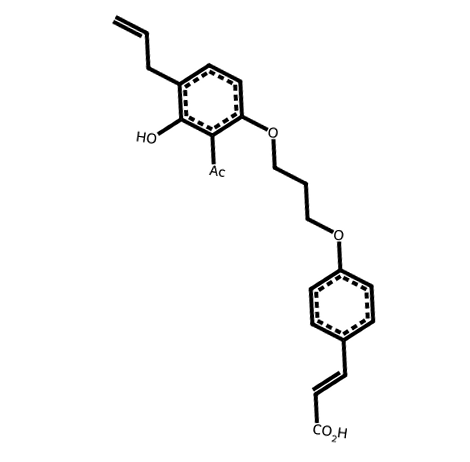 C=CCc1ccc(OCCCOc2ccc(C=CC(=O)O)cc2)c(C(C)=O)c1O